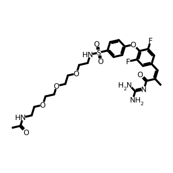 CC(=O)NCCOCCOCCOCCNS(=O)(=O)c1ccc(Oc2c(F)cc(C=C(C)C(=O)N=C(N)N)cc2F)cc1